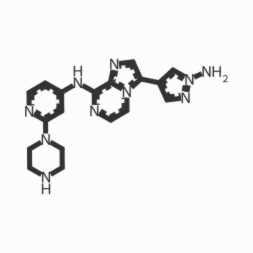 Nn1cc(-c2cnc3c(Nc4ccnc(N5CCNCC5)c4)nccn23)cn1